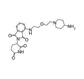 NC1CCN(CCOCCNc2cccc3c2C(=O)N(C2CCC(=O)NC2=O)C3=O)CC1